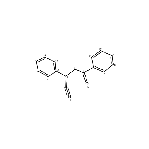 N#C[C@H](CC(=O)c1ccccc1)c1ccccc1